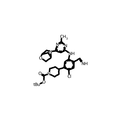 Cc1nc(Nc2cc(C3CCN(C(=O)OC(C)(C)C)CC3)c(Cl)cc2C=N)cc(N2CC3CC2CO3)n1